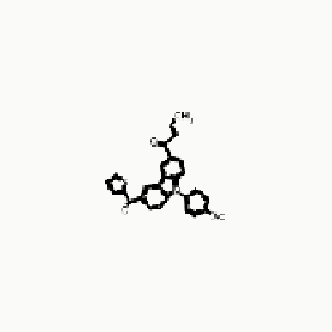 C/C=C/C(=O)c1ccc2c(c1)c1cc(C(=O)c3cccs3)ccc1n2-c1ccc(C(C)=O)cc1